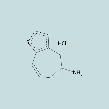 Cl.NC1=CC=Cc2sccc2C1